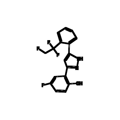 Oc1ccc(F)cc1-c1cc(-c2ccccc2C(F)(F)CF)[nH]n1